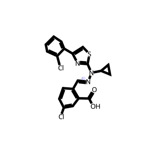 O=C(O)c1cc(Cl)ccc1/C=N/N(c1nc(-c2ccccc2Cl)cs1)C1CC1